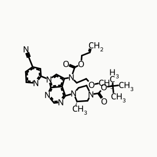 C=CCOC(=O)N(CCOC)c1cn(-c2cc(C#N)ccn2)c2ncnc(N3CCN(C(=O)OC(C)(C)C)C[C@@H]3C)c12